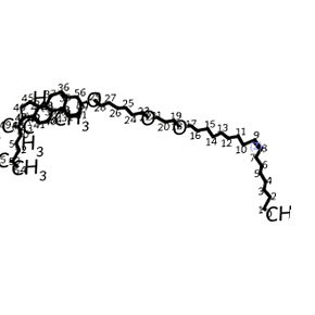 CCCCCCCC/C=C\CCCCCCCCOCCCOCCCCCCO[C@H]1CC[C@@]2(C)C(=CC[C@@H]3C2CC[C@@]2(C)C3CC[C@@H]2[C@H](C)CCCC(C)C)C1